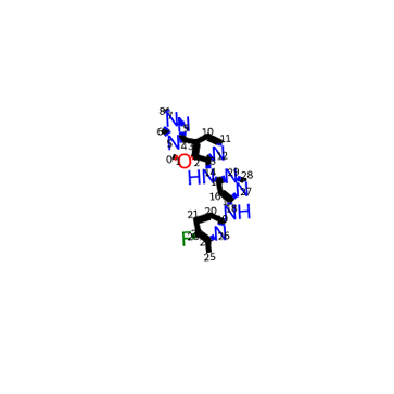 COc1c(-c2ncn(C)n2)ccnc1Nc1cc(Nc2ccc(F)c(C)n2)ncn1